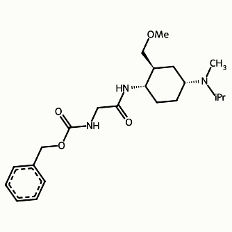 COC[C@H]1C[C@H](N(C)C(C)C)CC[C@@H]1NC(=O)CNC(=O)OCc1ccccc1